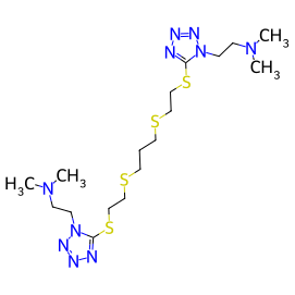 CN(C)CCn1nnnc1SCCSCCCSCCSc1nnnn1CCN(C)C